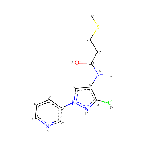 CSCCC(=O)N(C)c1cn(-c2cccnc2)nc1Cl